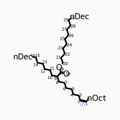 CCCCCCCC/C=C\CCCCCCC(CCCCCCCCCCCCCCCC)C(=O)OCCCCCCCCCCCCCCCCCCCC